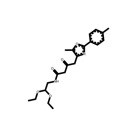 CCOC(CNC(=O)CC(=O)Cc1nc(-c2ccc(C)cc2)oc1C)OCC